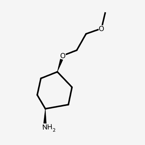 COCCO[C@H]1CC[C@@H](N)CC1